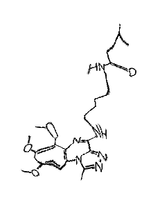 COc1cc2c(nc(NCCCCNC(=O)CC(C)C)c3nnc(C)n32)c(OC)c1OC